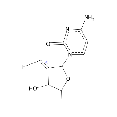 CC1OC(n2ccc(N)nc2=O)/C(=C/F)C1O